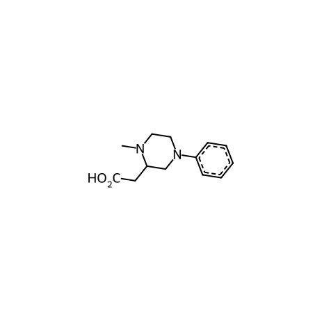 CN1CCN(c2ccccc2)CC1CC(=O)O